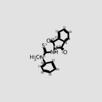 CN(C(=S)NN1C(=O)c2ccccc2C1=O)c1ccccc1